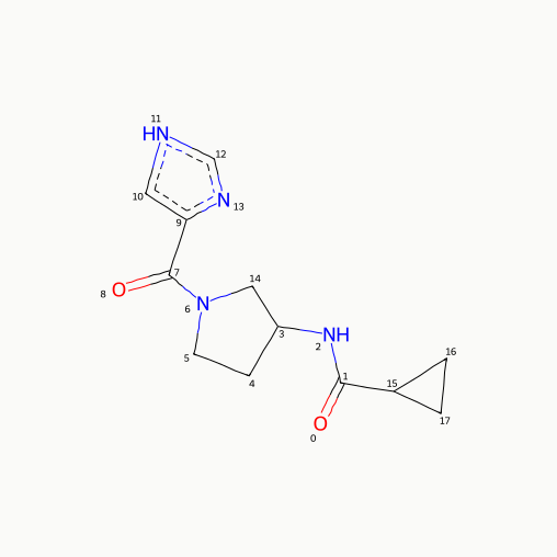 O=C(NC1CCN(C(=O)c2c[nH]cn2)C1)C1CC1